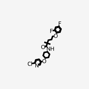 CC(C)(CCCOc1ccc(F)cc1F)C(=O)N[C@H]1CC[C@H](Oc2ccc(Cl)nc2)CC1